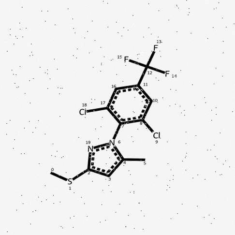 CSc1cc(C)n(-c2c(Cl)cc(C(F)(F)F)cc2Cl)n1